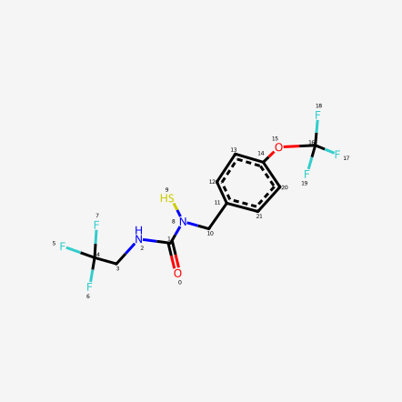 O=C(NCC(F)(F)F)N(S)Cc1ccc(OC(F)(F)F)cc1